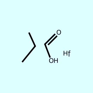 CCC.O=CO.[Hf]